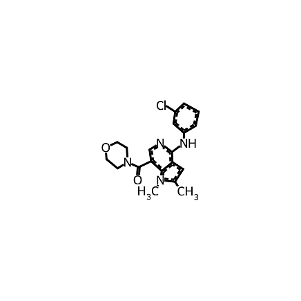 Cc1cc2c(Nc3cccc(Cl)c3)ncc(C(=O)N3CCOCC3)c2n1C